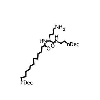 CCCCCCCCCCCCCCCCCCCCCC(=O)N[C@@H](CCCN)C(=O)NCCCCCCCCCCCC